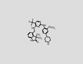 COc1cc(N2CCNCC2)ccc1Nc1ncc(C(F)(F)F)c(NCc2cccc3c2C(C)(C)C(=O)N3)n1